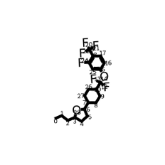 CCCC1CCC(C2CCC(C(F)(F)Oc3ccc(C(F)(F)F)c(F)c3)CC2)O1